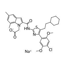 COc1cc(-c2nc(NC(=O)c3cc4cc(C)cc(C)c4n3CC(=O)[O-])sc2CCC2CCCCC2)c(OC)cc1Cl.[Na+]